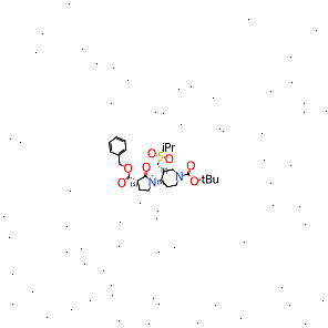 CC(C)S(=O)(=O)C[C@@H]1CN(C(=O)OC(C)(C)C)CC[C@@H]1N1CC[C@H](C(=O)OCc2ccccc2)C1=O